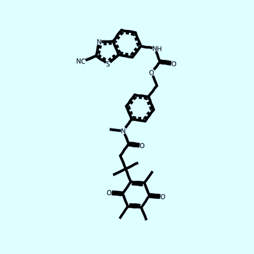 CC1=C(C)C(=O)C(C(C)(C)CC(=O)N(C)c2ccc(COC(=O)Nc3ccc4nc(C#N)sc4c3)cc2)=C(C)C1=O